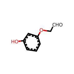 O=CCOc1cccc(O)c1